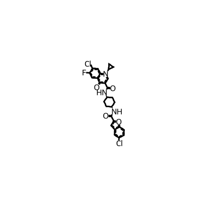 O=C(N[C@H]1CC[C@H](NC(=O)c2cn(C3CC3)c3cc(Cl)c(F)cc3c2=O)CC1)c1cc2cc(Cl)ccc2o1